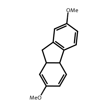 COC1=CC2Cc3cc(OC)ccc3C2C=C1